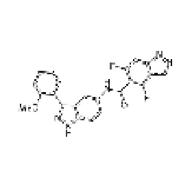 COc1ccccc1-c1n[nH]c2ccc(NC(=O)c3c(F)cc4c(cnn4C)c3F)cc12